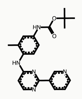 Cc1cc(NC(=O)OC(C)(C)C)ccc1Nc1ccnc(-c2cccnc2)n1